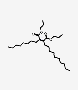 CCCCCCCCCC/C(C(=O)OCCC)=C(\CCCCCCCC)C(=O)OCCC